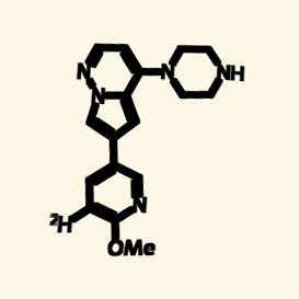 [2H]c1cc(-c2cc3c(N4CCNCC4)ccnn3c2)cnc1OC